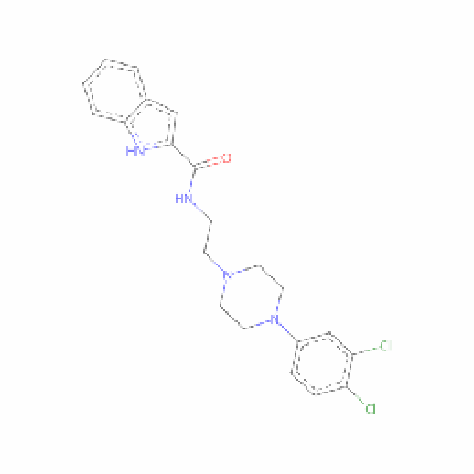 O=C(NCCN1CCN(c2ccc(Cl)c(Cl)c2)CC1)c1cc2ccccc2[nH]1